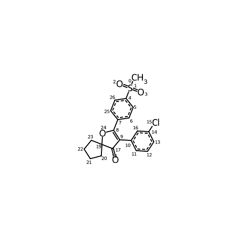 CS(=O)(=O)c1ccc(C2=C(c3cccc(Cl)c3)C(=O)C3(CCCC3)O2)cc1